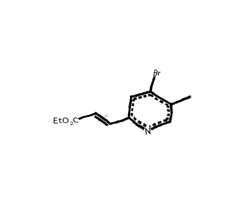 CCOC(=O)/C=C/c1cc(Br)c(C)cn1